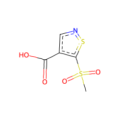 CS(=O)(=O)c1sncc1C(=O)O